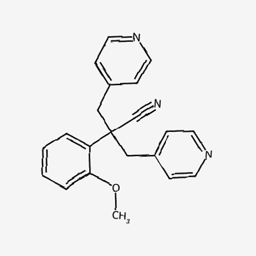 COc1ccccc1C(C#N)(Cc1ccncc1)Cc1ccncc1